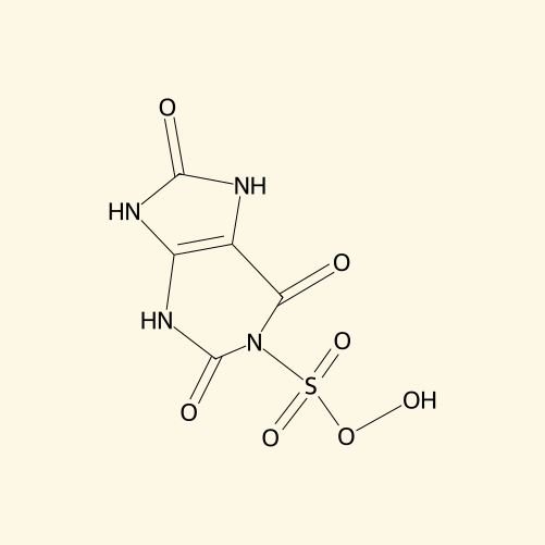 O=c1[nH]c2[nH]c(=O)n(S(=O)(=O)OO)c(=O)c2[nH]1